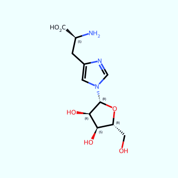 N[C@@H](Cc1cn([C@@H]2O[C@H](CO)[C@@H](O)[C@H]2O)cn1)C(=O)O